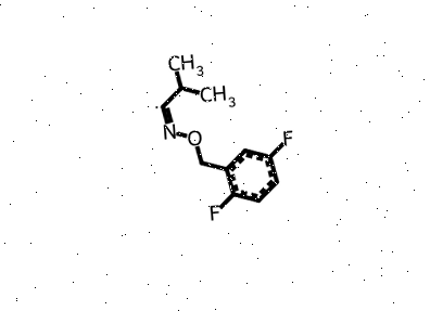 CC(C)/[C]=N\OCc1cc(F)ccc1F